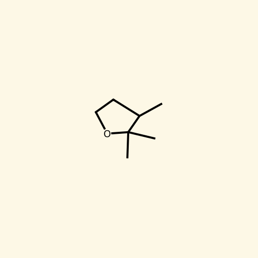 CC1CCOC1(C)C